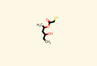 CCC(O)CC(C)OC(=O)CS